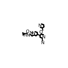 N#Cc1cc(-c2ccn3nc(NC(=O)C4CC4)cc3c2)c(OCc2cccnc2)cn1